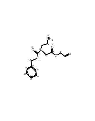 C=CCOC(=O)CN(CCN)C(=O)OCc1ccccc1